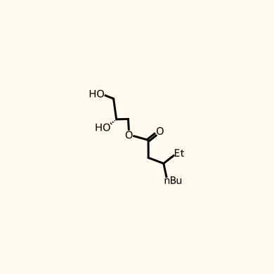 CCCCC(CC)CC(=O)OC[C@H](O)CO